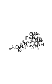 C=CCOC(=O)N1CCN(Cc2ccc([C@H](C)Nc3ncc4c(n3)N(CC(C)C)C(=O)OC4)cc2)CC1